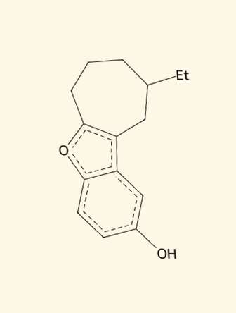 CCC1CCCc2oc3ccc(O)cc3c2C1